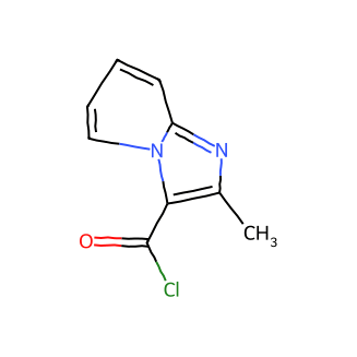 Cc1nc2ccccn2c1C(=O)Cl